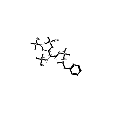 CC(C)(C)[Si](C)(C)OC[C@H](O[Si](C)(C)C(C)(C)C)[C@@H](O[Si](C)(C)C(C)(C)C)[C@@H](COCc1ccccc1)O[Si](C)(C)C(C)(C)C